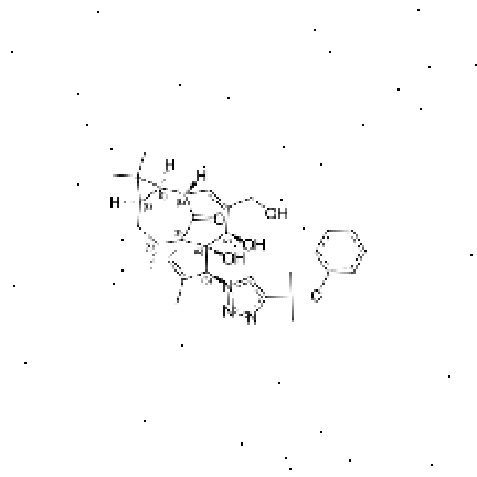 CC1=C[C@]23C(=O)[C@@H](C=C(CO)[C@@H](O)[C@]2(O)[C@H]1n1cc(C(C)(C)Oc2ccccc2)nn1)[C@H]1[C@@H](C[C@H]3C)C1(C)C